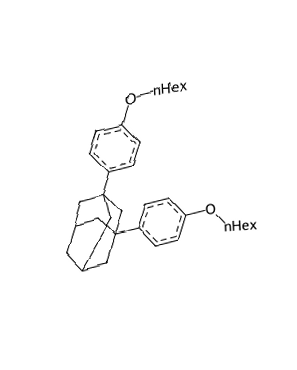 CCCCCCOc1ccc(C23CC4CC(C2)CC(c2ccc(OCCCCCC)cc2)(C4)C3)cc1